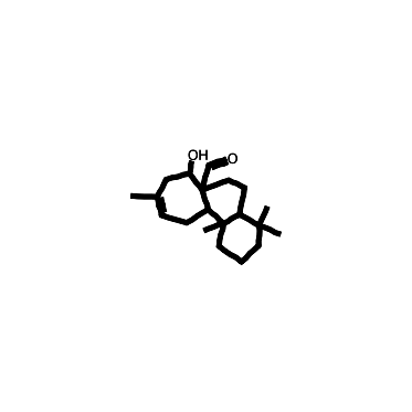 CC1=CCC2C3(C)CCCC(C)(C)C3CCC2(C=O)C(O)C1